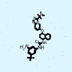 CN(C)C(C)(C)c1nnc2ccc(O[C@@H]3CC[C@H](NC(=O)Nc4cc(N)cc(C(C)(C)C)c4)c4ccccc43)cn12